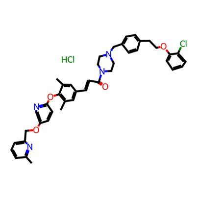 Cc1cccc(COc2ccc(Oc3c(C)cc(/C=C/C(=O)N4CCN(Cc5ccc(CCOc6ccccc6Cl)cc5)CC4)cc3C)nc2)n1.Cl